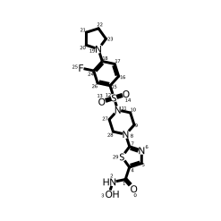 O=C(NO)c1cnc(N2CCN(S(=O)(=O)c3ccc(N4CCCC4)c(F)c3)CC2)s1